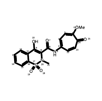 COc1ccc(NC(=O)C2=C(O)c3ccccc3S(=O)(=O)N2C)ccc1=O